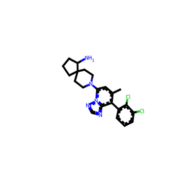 Cc1cc(N2CCC3(CCCC3N)CC2)n2ncnc2c1-c1cccc(Cl)c1Cl